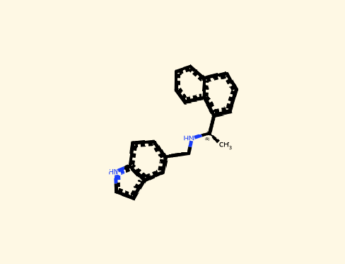 C[C@@H](NCc1ccc2[nH]ccc2c1)c1cccc2ccccc12